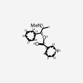 CN[C@H](C)[C@@H](OC(=O)c1cccnc1)c1ccccc1